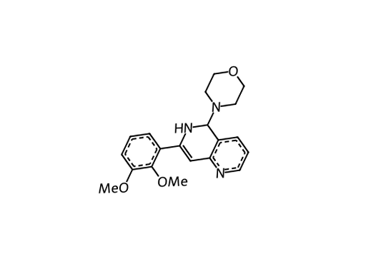 COc1cccc(C2=Cc3ncccc3C(N3CCOCC3)N2)c1OC